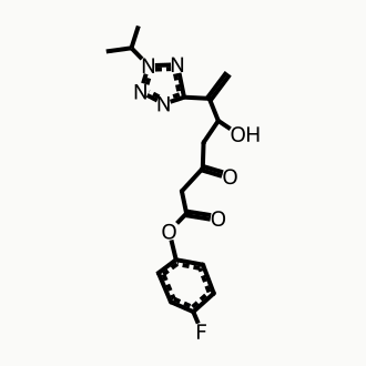 C=C(c1nnn(C(C)C)n1)C(O)CC(=O)CC(=O)Oc1ccc(F)cc1